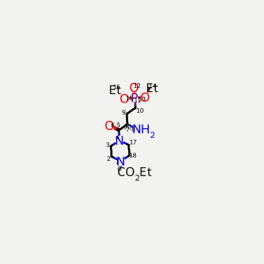 CCOC(=O)N1CCN(C(=O)[C@H](N)CCP(=O)(OCC)OCC)CC1